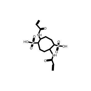 C=CC(=O)NC1CCC(S(=O)(=O)O)C(NC(=O)C=C)CCC1S(=O)(=O)O